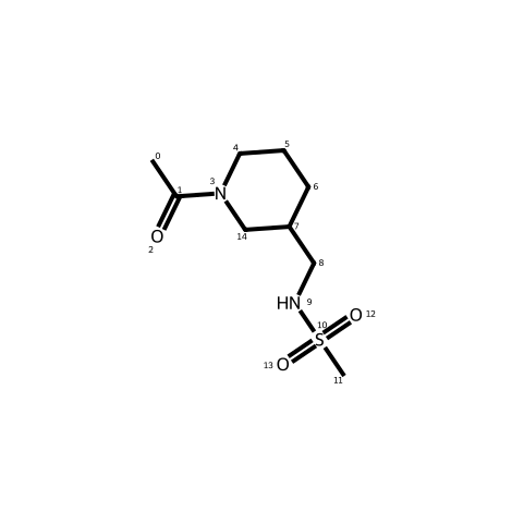 CC(=O)N1CCCC(CNS(C)(=O)=O)C1